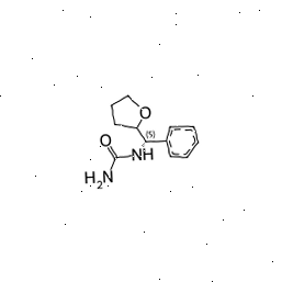 NC(=O)N[C@@H](c1ccccc1)C1CCCO1